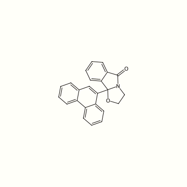 O=C1c2ccccc2C2(c3cc4ccccc4c4ccccc34)OCCN12